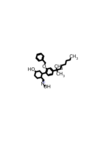 CCCCCCC(C)(C)c1ccc(C2CC(O)CCC2/C=N/O)c(OCc2ccccc2)c1